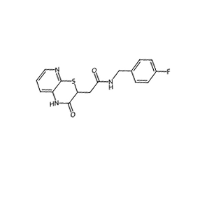 O=C(CC1Sc2ncccc2NC1=O)NCc1ccc(F)cc1